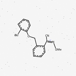 CCC(C)c1ccccc1OCc1ccccc1/C(C#N)=N\OC